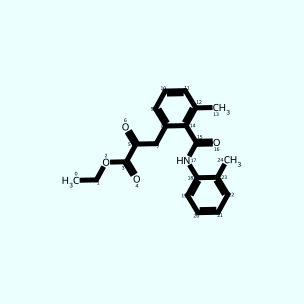 CCOC(=O)C(=O)Cc1cccc(C)c1C(=O)Nc1ccccc1C